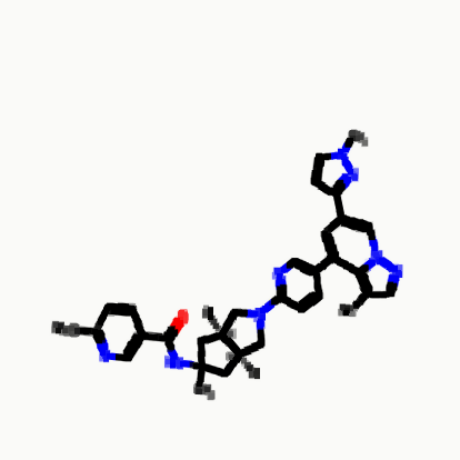 COc1ccc(C(=O)NC2(C)C[C@H]3CN(c4ccc(-c5cc(-c6ccn(C)n6)cn6ncc(C#N)c56)cn4)C[C@H]3C2)cn1